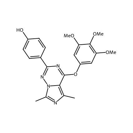 COc1cc(Oc2nc(-c3ccc(O)cc3)nn3c(C)nc(C)c23)cc(OC)c1OC